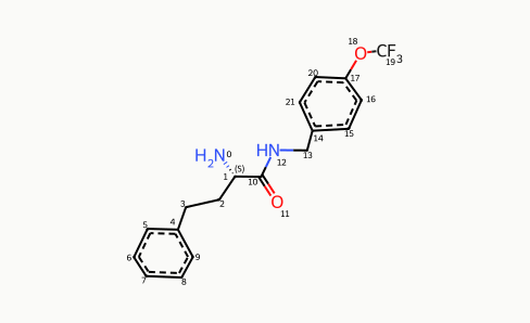 N[C@@H](CCc1ccccc1)C(=O)NCc1ccc(OC(F)(F)F)cc1